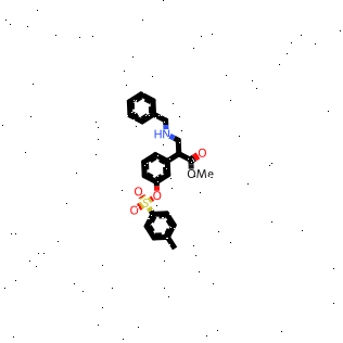 COC(=O)C(CNCc1ccccc1)c1cccc(OS(=O)(=O)c2ccc(C)cc2)c1